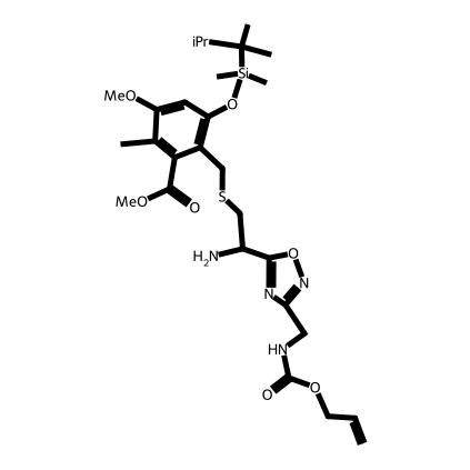 C=CCOC(=O)NCc1noc(C(N)CSCc2c(O[Si](C)(C)C(C)(C)C(C)C)cc(OC)c(C)c2C(=O)OC)n1